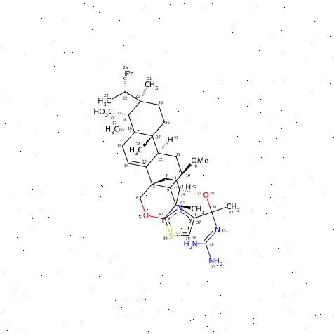 CO[C@@H]1C[C@]23COC[C@](C)([C@@H]2CC[C@H]2C3=CC[C@@]3(C)[C@H](C(=O)O)[C@@](C)([C@H](C)C(C)C)CC[C@]23C)[C@H]1OC(C)(N=C(N)N)c1cscn1